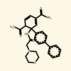 NC(=O)C1=CC(NC(=O)CN2CCOCC2)(c2ccc(-c3ccccc3)cc2)C(C(N)=O)C=C1